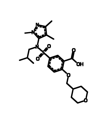 Cc1nn(C)c(N(CC(C)C)S(=O)(=O)c2ccc(OCC3CCOCC3)c(C(=O)O)c2)c1C